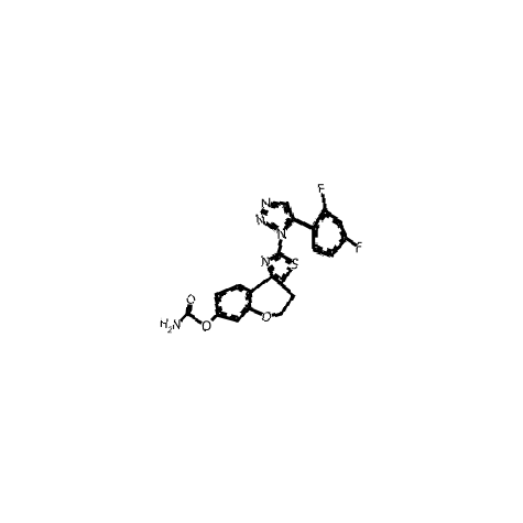 NC(=O)Oc1ccc2c(c1)OCCc1sc(-n3nncc3-c3ccc(F)cc3F)nc1-2